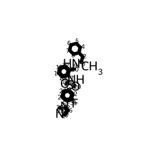 CC(CC1CCCCC1)NCc1ccccc1NS(=O)(=O)c1ccc(-n2ccnc2)c(F)c1